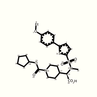 CCOc1ccc(-c2ccc(S(=O)(=O)N(C)[C@@H](C(=O)O)C3CCN(C(=O)OC4CCCC4)CC3)s2)cc1